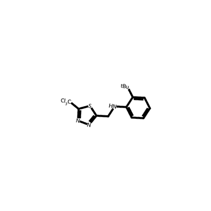 CC(C)(C)c1ccccc1NCc1nnc(C(Cl)(Cl)Cl)s1